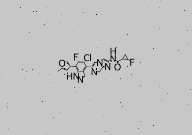 Cc1cc(-c2c(F)c(Cl)c(-c3cn4cc(NC(=O)C5CC5F)nc4cn3)c3cn[nH]c23)co1